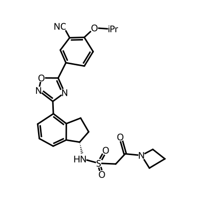 CC(C)Oc1ccc(-c2nc(-c3cccc4c3CC[C@@H]4NS(=O)(=O)CC(=O)N3CCC3)no2)cc1C#N